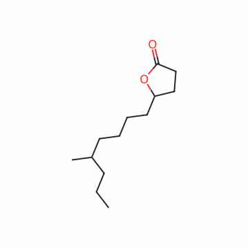 CCCC(C)CCCCC1CCC(=O)O1